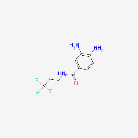 Nc1ccc(C(=O)NCCC(F)(F)F)cc1N